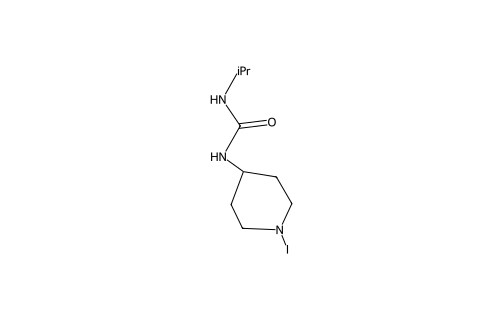 CC(C)NC(=O)NC1CCN(I)CC1